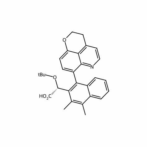 Cc1c([C@@H](OC(C)(C)C)C(=O)O)c(-c2ccc3c4c(ccnc24)CCO3)c2ccccc2c1C